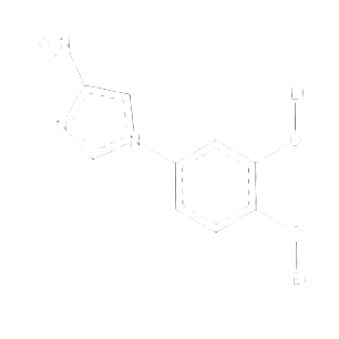 CCOc1ccc(-n2cnc([N+](=O)[O-])c2)cc1OCC